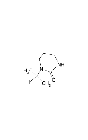 CC(C)(I)N1CCCNC1=O